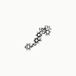 C[C@@H](NC(=O)Cc1ccc(-c2ccc(OCCN3CCOCC3)cc2F)cn1)C1CCCCC1